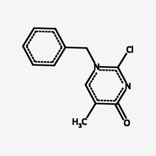 Cc1cn(Cc2ccccc2)c(Cl)nc1=O